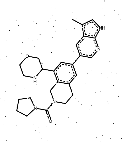 Cc1c[nH]c2ncc(-c3cc4c(c(C5COCCN5)c3)CN(C(=O)N3CCCC3)CC4)cc12